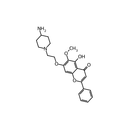 COc1c(OCCN2CCC(N)CC2)cc2oc(-c3ccccc3)cc(=O)c2c1O